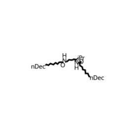 CCCCCCCCCCCCCCCCCC(=O)NCCCC[C@H](NC(=O)CCCCCCCCCCCCCCCCC)C(C)C